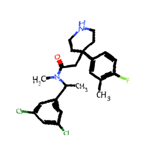 Cc1cc(C2(CC(=O)N(C)C(C)c3cc(Cl)cc(Cl)c3)CCNCC2)ccc1F